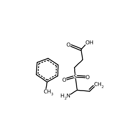 C=CC(N)S(=O)(=O)CCC(=O)O.Cc1ccccc1